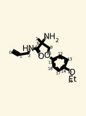 C#CCNC(=O)C(C)(N)COc1ccc(OCC)cc1